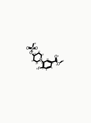 COC(=O)c1ccc(F)c(N2CCC(OS(C)(=O)=O)CC2)c1